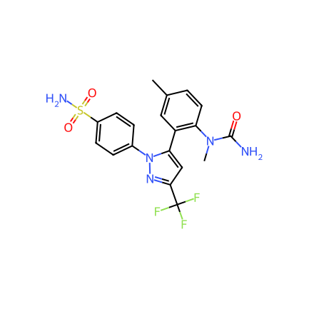 Cc1ccc(N(C)C(N)=O)c(-c2cc(C(F)(F)F)nn2-c2ccc(S(N)(=O)=O)cc2)c1